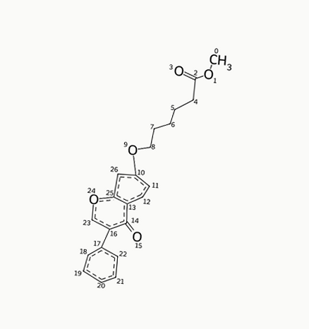 COC(=O)CCCCCOc1ccc2c(=O)c(-c3ccccc3)coc2c1